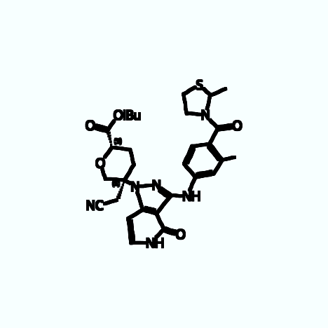 Cc1cc(Nc2nn([C@]3(CC#N)CC[C@@H](C(=O)OCC(C)C)OC3)c3cc[nH]c(=O)c23)ccc1C(=O)N1CCSC1C